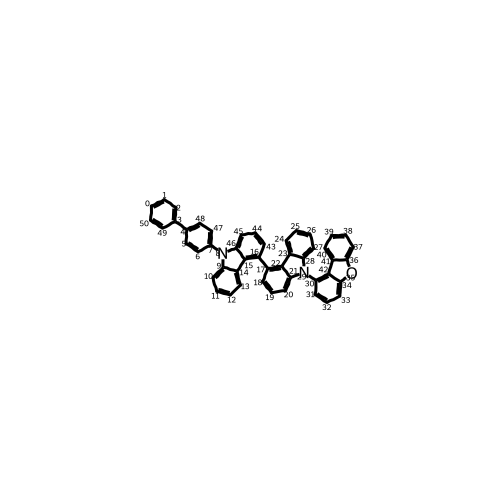 c1ccc(-c2ccc(-n3c4ccccc4c4c(-c5cccc6c5c5ccccc5n6-c5cccc6oc7ccccc7c56)cccc43)cc2)cc1